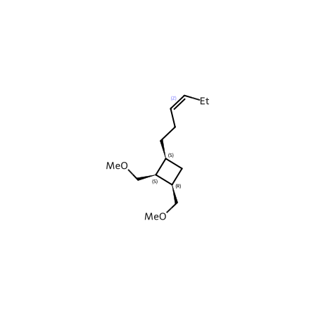 CC/C=C\CC[C@H]1C[C@@H](COC)[C@H]1COC